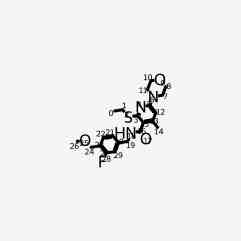 CCSc1nc(N2CCOCC2)cc(C)c1C(=O)NCc1ccc(COC)c(F)c1